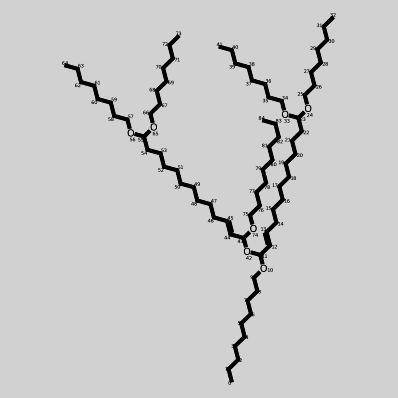 CCCCCCCCCCOC(C=CCCCCCCCCCC(OCCCCCCCC)OCCCCCCCC)OC(C=CCCCCCCCCCC(OCCCCCCCC)OCCCCCCCC)OCCCCCCCCCC